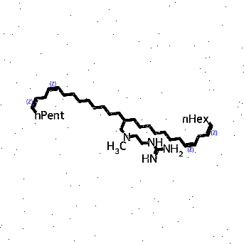 CCCCC/C=C\C/C=C\CCCCCCCCC(CCCCCCC/C=C\C/C=C\CCCCCC)CN(C)CCNC(=N)N